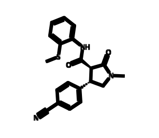 CSc1ccccc1NC(=O)[C@H]1C(=O)N(C)C[C@@H]1c1ccc(C#N)cc1